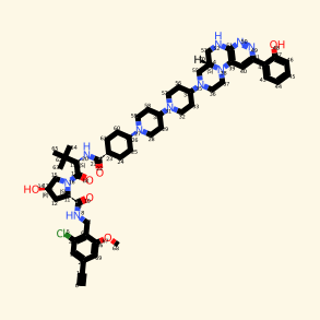 C#Cc1cc(Cl)c(CNC(=O)[C@@H]2C[C@@H](O)CN2C(=O)[C@@H](NC(=O)[C@H]2CC[C@H](N3CCC(N4CCC(N5CCN6c7cc(-c8ccccc8O)nnc7NC[C@H]6C5)CC4)CC3)CC2)C(C)(C)C)c(OC)c1